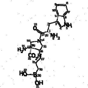 N[C@@H](Cc1c[nH]c2ccccc12)C(=O)N1CC(CCCB(O)O)[C@](N)(C(=O)O)C1